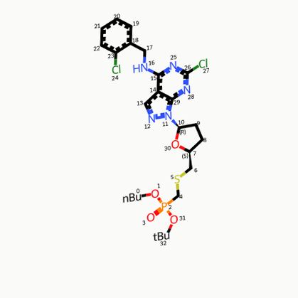 CCCCOP(=O)(CSC[C@@H]1CC[C@H](n2ncc3c(NCc4ccccc4Cl)nc(Cl)nc32)O1)OC(C)(C)C